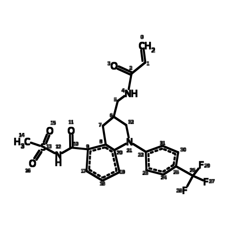 C=CC(=O)NCC1Cc2c(C(=O)NS(C)(=O)=O)cccc2N(c2ccc(C(F)(F)F)cc2)C1